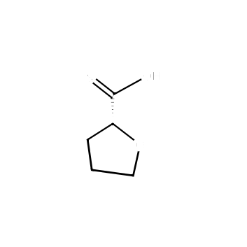 OC(=S)[C@H]1CCCO1